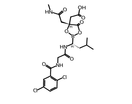 CNC(=O)C[C@]1(CC(=O)O)OB([C@H](CC(C)C)NC(=O)CNC(=O)c2cc(Cl)ccc2Cl)OC1=O